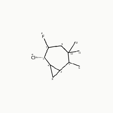 CC1C2CC2[C@H](Cl)C(F)CC1(C)C